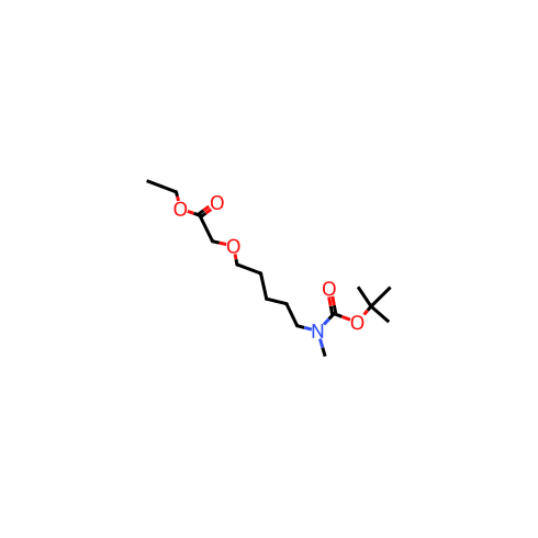 CCOC(=O)COCCCCCN(C)C(=O)OC(C)(C)C